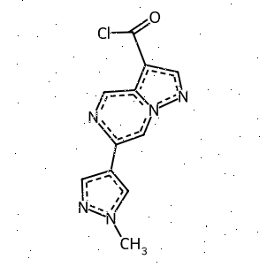 Cn1cc(-c2cn3ncc(C(=O)Cl)c3cn2)cn1